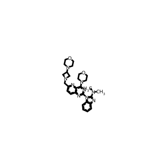 CN(C)c1nc2ccccc2n1-c1nc(N2CCOCC2)c2nc(CN3CC(N4CCOCC4)C3)ccc2n1